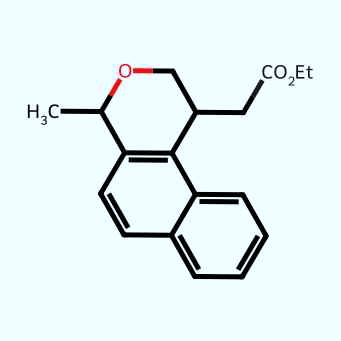 CCOC(=O)CC1COC(C)c2ccc3ccccc3c21